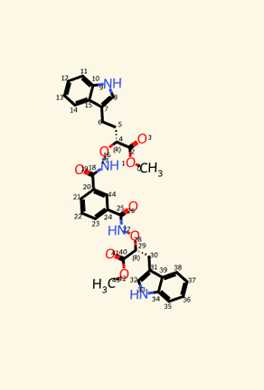 COC(=O)[C@@H](CCc1c[nH]c2ccccc12)ONC(=O)c1cccc(C(=O)NO[C@H](Cc2c[nH]c3ccccc23)C(=O)OC)c1